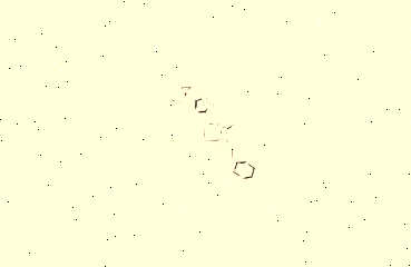 NCC1(c2nnc([C@@H]3CC[C@@H]4CN3C(=O)N4OCc3ccccc3)o2)CC1